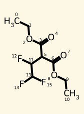 CCOC(=O)C(C(=O)OCC)C(F)C(F)F